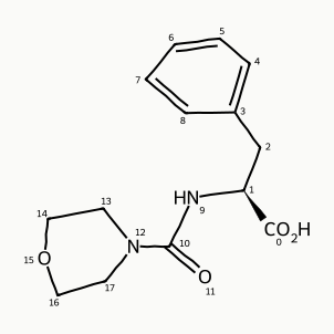 O=C(O)[C@H](Cc1ccccc1)NC(=O)N1CCOCC1